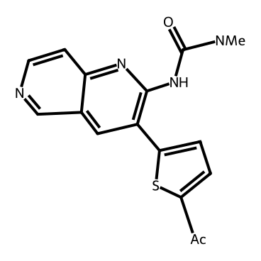 CNC(=O)Nc1nc2ccncc2cc1-c1ccc(C(C)=O)s1